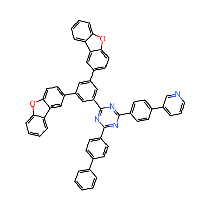 c1ccc(-c2ccc(-c3nc(-c4ccc(-c5cccnc5)cc4)nc(-c4cc(-c5ccc6oc7ccccc7c6c5)cc(-c5ccc6oc7ccccc7c6c5)c4)n3)cc2)cc1